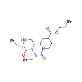 CC(C)CCOC(=O)C1CCN(C(=O)[C@H](CC(C)C)N2CCN[C@@H](CC(C)C)C2=O)CC1